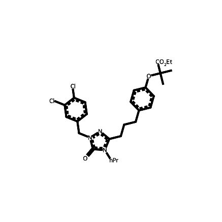 CCCn1c(CCCc2ccc(OC(C)(C)C(=O)OCC)cc2)nn(Cc2ccc(Cl)c(Cl)c2)c1=O